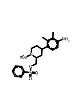 CCCCN1CCC(c2ccc(N)c(C)c2C)CC1COS(=O)(=O)c1ccccc1